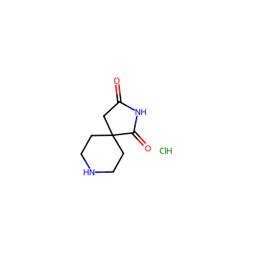 Cl.O=C1CC2(CCNCC2)C(=O)N1